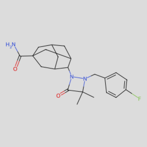 CC1(C)C(=O)N(C2C3CC4CC2CC(C(N)=O)(C4)C3)N1Cc1ccc(F)cc1